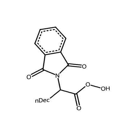 CCCCCCCCCCC(C(=O)OO)N1C(=O)c2ccccc2C1=O